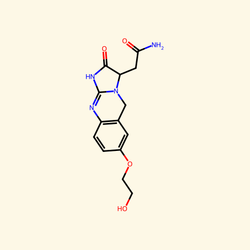 NC(=O)CC1C(=O)NC2=Nc3ccc(OCCO)cc3CN21